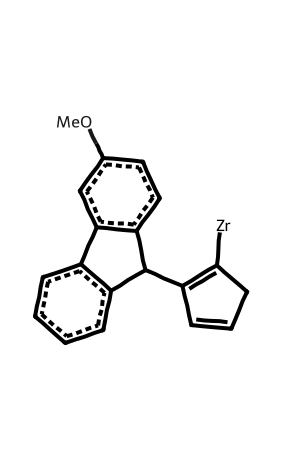 COc1ccc2c(c1)-c1ccccc1C2C1=[C]([Zr])CC=C1